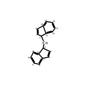 C1=C[CH]([Co][CH]2C=Cc3ccccc32)c2ccccc21